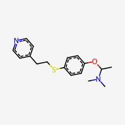 CC(Oc1ccc(SCCc2ccncc2)cc1)N(C)C